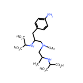 CC(=O)ON(CC(C)NC(C(=O)O)C(=O)O)CC(Cc1ccc(N)cc1)NC(C(=O)O)C(=O)O